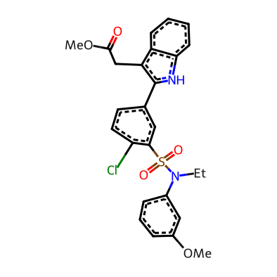 CCN(c1cccc(OC)c1)S(=O)(=O)c1cc(-c2[nH]c3ccccc3c2CC(=O)OC)ccc1Cl